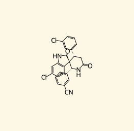 N#Cc1cccc([C@H]2NC(=O)C[C@@H](c3cccc(Cl)c3)[C@]23C(=O)Nc2cc(Cl)ccc23)c1